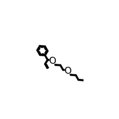 C=CC(OCCCOCCCC)c1ccccc1